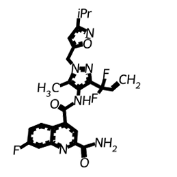 C=CC(F)(F)c1nn(Cc2cc(C(C)C)no2)c(C)c1NC(=O)c1cc(C(N)=O)nc2cc(F)ccc12